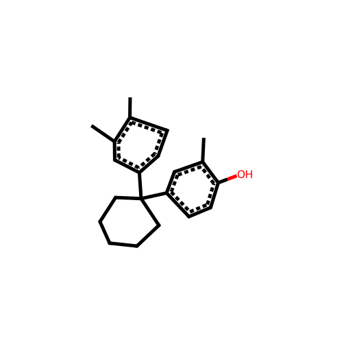 Cc1ccc(C2(c3ccc(O)c(C)c3)CCCCC2)cc1C